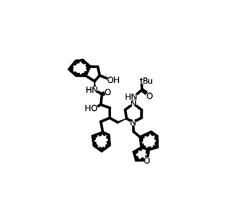 CC(C)(C)C(=O)NN1CCN(Cc2cccc3occc23)[C@@H](CC(Cc2ccccc2)CC(O)C(=O)N[C@H]2c3ccccc3CC2O)C1